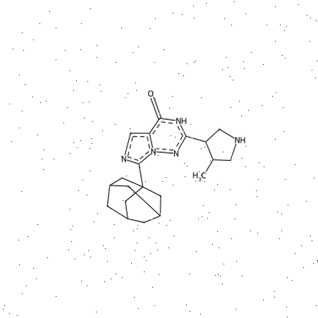 CC1CNCC1c1nn2c(C34CC5CC(CC(C5)C3)C4)ncc2c(=O)[nH]1